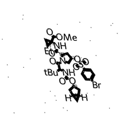 CC[C@@H]1C[C@]1(NC(=O)[C@@H]1C[C@H](OS(=O)(=O)c2ccc(Br)cc2)CN1C(=O)C(NC(=O)O[C@@H]1C[C@@H]2C[C@@H]2C1)C(C)(C)C)C(=O)OC